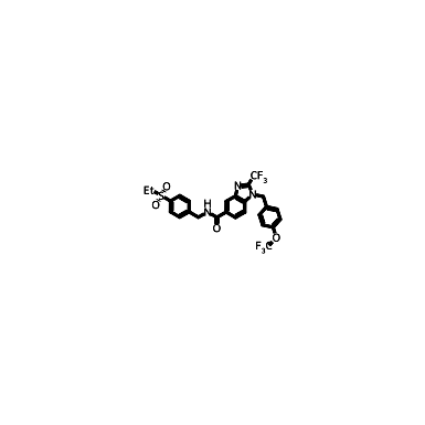 CCS(=O)(=O)c1ccc(CNC(=O)c2ccc3c(c2)nc(C(F)(F)F)n3Cc2ccc(OC(F)(F)F)cc2)cc1